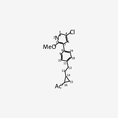 COc1ncc(Cl)cc1-c1ccc(CCC2CC2C(C)=O)cc1